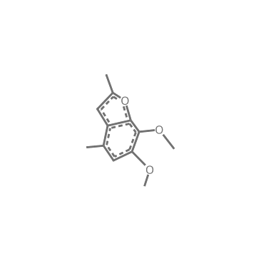 COc1cc(C)c2cc(C)oc2c1OC